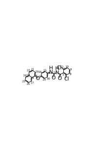 O=C(NC(=O)c1c(Cl)cccc1Cl)Nc1ccc(Oc2cccc3ccccc23)cc1